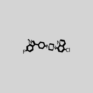 Cn1cc(C2CCC(N3CCN(c4ccc(Cl)c5cccnc45)CC3)CC2)c2ccc(F)cc21